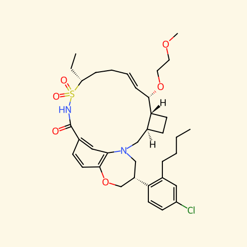 CCCCc1cc(Cl)ccc1[C@@H]1COc2ccc3cc2N(C1)C[C@@H]1CC[C@H]1[C@@H](OCCOC)/C=C/CC[C@@H](CC)S(=O)(=O)NC3=O